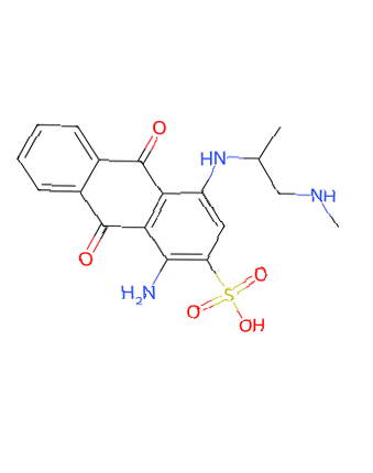 CNCC(C)Nc1cc(S(=O)(=O)O)c(N)c2c1C(=O)c1ccccc1C2=O